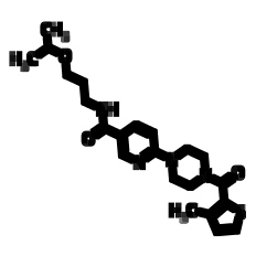 Cc1ccsc1C(=O)N1CCN(c2ccc(C(=O)NCCCOC(C)C)cn2)CC1